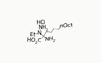 CCCCCCCCCCCCC(N)(C(=O)O)N(N)CC.Cl